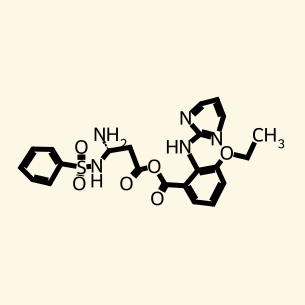 CCOc1cccc(C(=O)OC(=O)C[C@@H](N)NS(=O)(=O)c2ccccc2)c1Nc1ncccn1